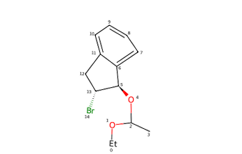 CCOC(C)O[C@@H]1c2ccccc2C[C@H]1Br